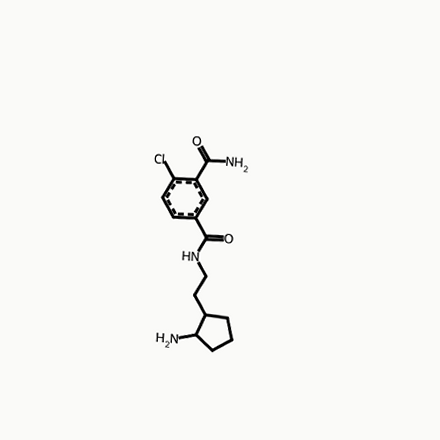 NC(=O)c1cc(C(=O)NCCC2CCCC2N)ccc1Cl